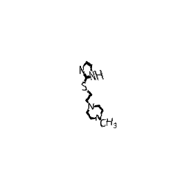 CN1CCN(CCSC2=NCCN2)CC1